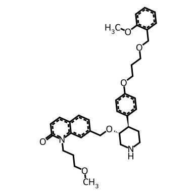 COCCCn1c(=O)ccc2ccc(CO[C@H]3CNCC[C@@H]3c3ccc(OCCCOCc4ccccc4OC)cc3)cc21